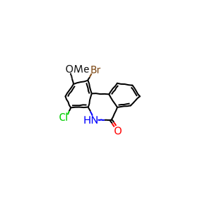 COc1cc(Cl)c2[nH]c(=O)c3ccccc3c2c1Br